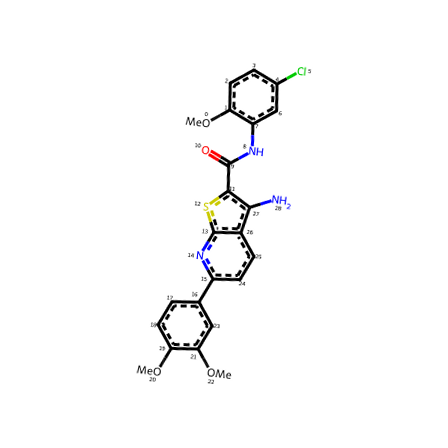 COc1ccc(Cl)cc1NC(=O)c1sc2nc(-c3ccc(OC)c(OC)c3)ccc2c1N